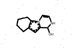 OC1NC=Cn2c1cc1c2CCCC1